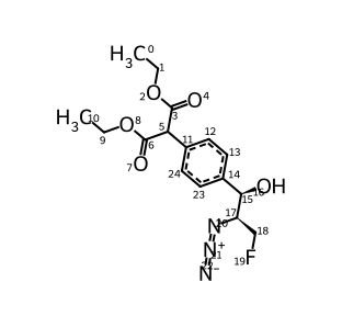 CCOC(=O)C(C(=O)OCC)c1ccc([C@@H](O)[C@@H](CF)N=[N+]=[N-])cc1